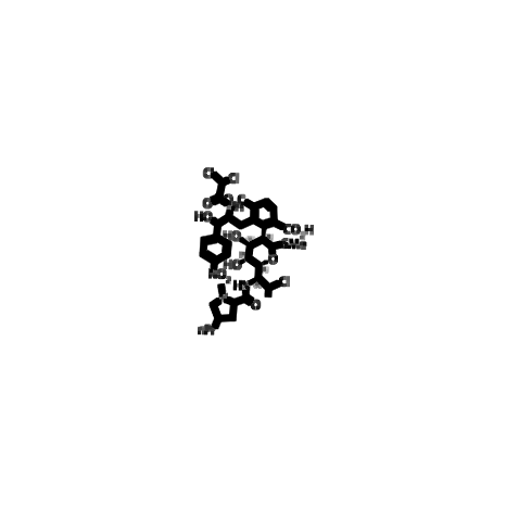 CCCC1CC(C(=O)N[C@H](C(C)Cl)[C@H]2OC(SC)[C@H](c3c(C(=O)O)ccc(C(=O)O)c3CC(NC(=O)C(Cl)Cl)C(O)c3ccc([N+](=O)[O-])cc3)[C@H](O)[C@H]2O)N(C)C1